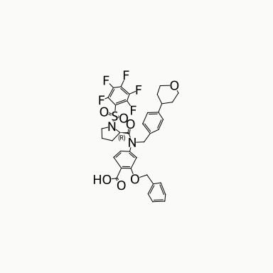 O=C(O)c1ccc(N(Cc2ccc(C3CCOCC3)cc2)C(=O)[C@H]2CCCN2S(=O)(=O)c2c(F)c(F)c(F)c(F)c2F)cc1OCc1ccccc1